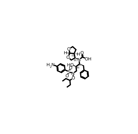 CCC(CC)ON(C[C@@H](O)[C@H](Cc1ccccc1)N(C(=O)O)[C@H]1CO[C@H]2OCC[C@H]21)S(=O)(=O)c1ccc(N)cc1